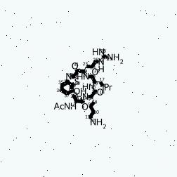 CC(=O)N[C@@H](CO)C(=O)N[C@@H](CCCCN)C(=O)N[C@@H](CC(C)C)C(=O)N[C@@H](CCCNC(=N)N)C(=O)c1nc2ccccc2s1